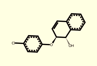 O[C@H]1c2ccccc2C=C[C@@H]1Oc1ccc(Cl)cc1